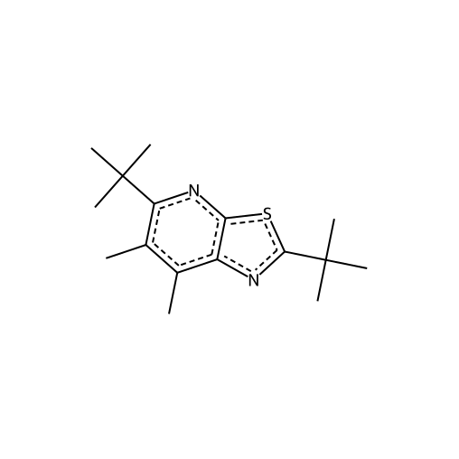 Cc1c(C(C)(C)C)nc2sc(C(C)(C)C)nc2c1C